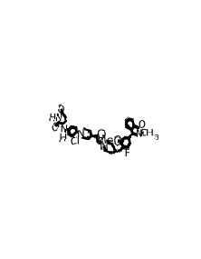 COc1cc(-c2cn(C)c(=O)c3ccccc23)cc(F)c1CC1CCN(CC(=O)C2CCN(c3ccc(NC4CCC(=O)NC4=O)cc3Cl)CC2)CC1